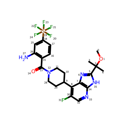 COC(C)(C)c1nc2c(C3CCN(C(=O)c4ccc(S(F)(F)(F)(F)F)cc4N)CC3)c(F)cnc2[nH]1